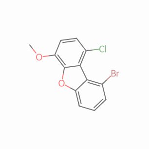 COc1ccc(Cl)c2c1oc1cccc(Br)c12